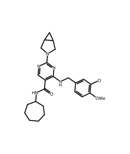 COc1ccc(CNc2nc(N3CC4CC4C3)ncc2C(=O)NC2CCCCCC2)cc1Cl